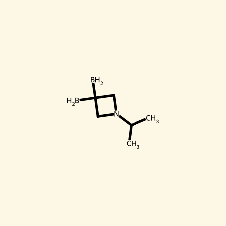 BC1(B)CN(C(C)C)C1